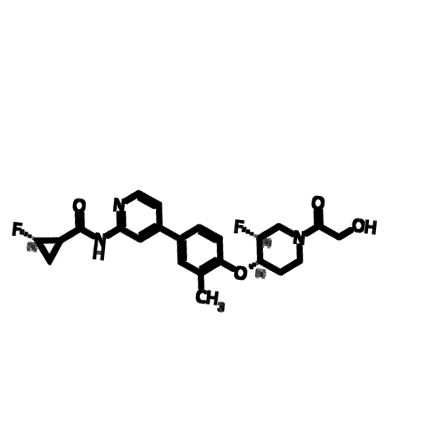 Cc1cc(-c2ccnc(NC(=O)C3C[C@@H]3F)c2)ccc1O[C@H]1CCN(C(=O)CO)C[C@H]1F